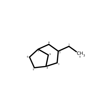 CCC1CC2CCC(C1)C2